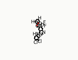 C=CC(=O)N1[C@@H]2C[C@H](Oc3cc4c(Nc5ccc(Cl)c(Cl)c5F)ncnc4cc3OC(F)F)C[C@H]1C2